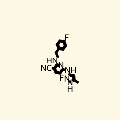 Cc1cc(Nc2nc(NCCc3ccc(F)cc3)c(C#N)cc2F)n[nH]1